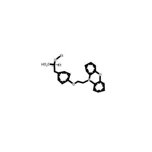 CCO[C@@](CC)(Cc1ccc(OCCN2c3ccccc3Oc3ccccc32)cc1)C(=O)O